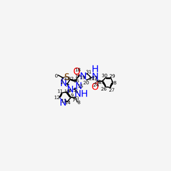 Cc1nc2nc(N[C@@H](C)c3cccnc3)nc(C(=O)N3CC(NC(=O)c4ccccc4)C3)c2s1